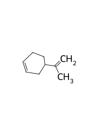 C=C(C)C1CC=CCC1